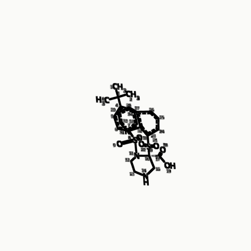 CC(C)(C)c1ccc(S(=O)(=O)N2CCNC[C@]2(C(=O)O)S(=O)(=O)c2cccc3cccnc23)cc1